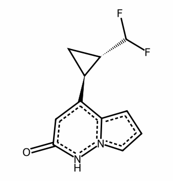 O=c1cc([C@H]2C[C@@H]2C(F)F)c2cccn2[nH]1